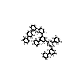 c1ccc(-c2ccc(-c3cccc4c3oc3c(-c5cc(-c6ccccc6)cc(-c6nc(-c7ccccc7)nc(-c7cccc(-c8ccccc8)c7)n6)c5)cccc34)cc2)cc1